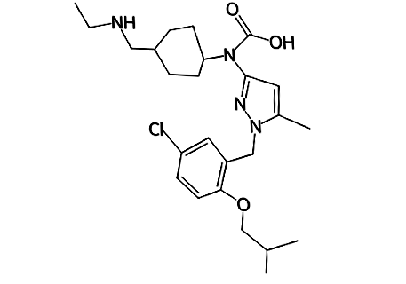 CCNCC1CCC(N(C(=O)O)c2cc(C)n(Cc3cc(Cl)ccc3OCC(C)C)n2)CC1